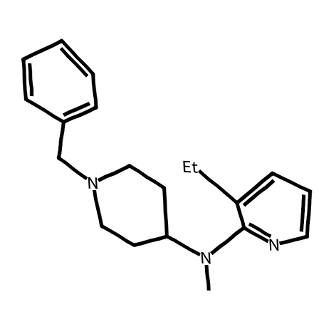 CCc1cccnc1N(C)C1CCN(Cc2ccccc2)CC1